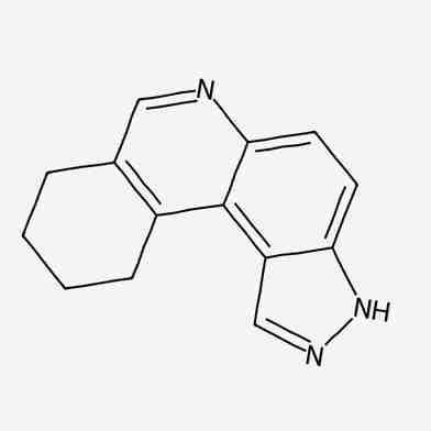 c1nc2ccc3[nH]ncc3c2c2c1CCCC2